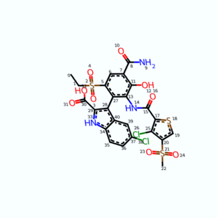 CCS(=O)(=O)c1cc(C(N)=O)c(O)c(NC(=O)c2scc(S(C)(=O)=O)c2Cl)c1-c1c(C(=O)O)[nH]c2ccc(Cl)cc12